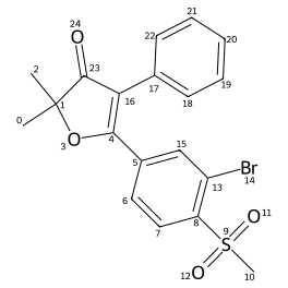 CC1(C)OC(c2ccc(S(C)(=O)=O)c(Br)c2)=C(c2ccccc2)C1=O